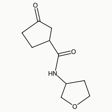 O=C1CCC(C(=O)NC2CCOC2)C1